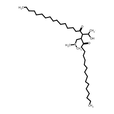 [CH2]C(O)C(C(=O)CCCCCCCCCCCCCCC)C(CN(C)C)C(=O)CCCCCCCCCCCCCCC